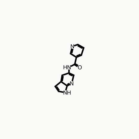 O=C(Nc1cnc2[nH]ccc2c1)c1cccnc1